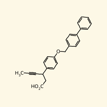 CC#CC(CC(=O)O)c1ccc(OCc2ccc(-c3ccccc3)cc2)cc1